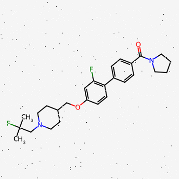 CC(C)(F)CN1CCC(COc2ccc(-c3ccc(C(=O)N4CCCC4)cc3)c(F)c2)CC1